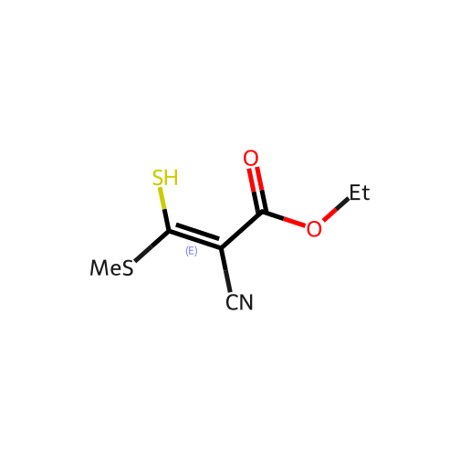 CCOC(=O)/C(C#N)=C(\S)SC